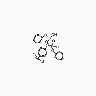 O=P(O)(Oc1ccccc1)OP(=O)(Oc1ccccc1)Oc1ccccc1.[Cl][Pd][Cl]